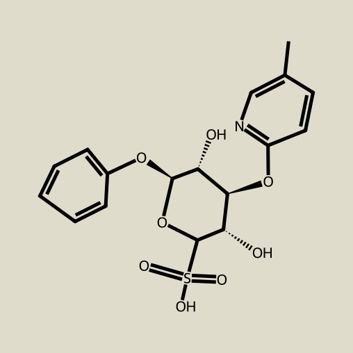 Cc1ccc(O[C@@H]2[C@@H](O)[C@H](Oc3ccccc3)OC(S(=O)(=O)O)[C@H]2O)nc1